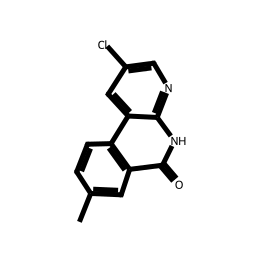 Cc1ccc2c(c1)c(=O)[nH]c1ncc(Cl)cc12